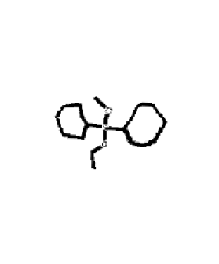 CCO[Si](OC)(C1CCCCC1)C1CCCCC1